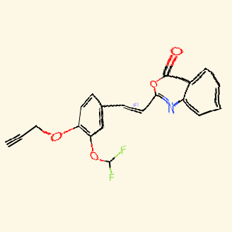 C#CCOc1ccc(/C=C/c2nc3ccccc3c(=O)o2)cc1OC(F)F